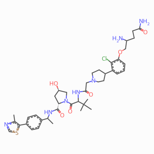 Cc1ncsc1-c1ccc(C(C)NC(=O)[C@@H]2C[C@@H](O)CN2C(=O)C(NC(=O)CN2CCC(c3cccc(OCC(N)CCC(N)=O)c3Cl)CC2)C(C)(C)C)cc1